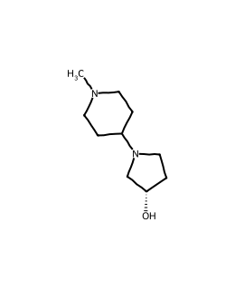 CN1CCC(N2CC[C@H](O)C2)CC1